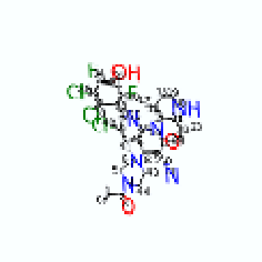 C=CC(=O)N1CCN(c2c(C#N)c(=O)n(C3=C(C)C=CNC3C(C)C)c3nc(-c4c(F)c(O)c(F)c(Cl)c4Cl)c(Cl)cc23)CC1